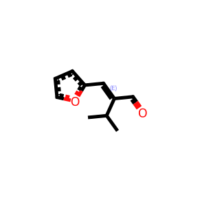 CC(C)/C(C=O)=C\c1ccco1